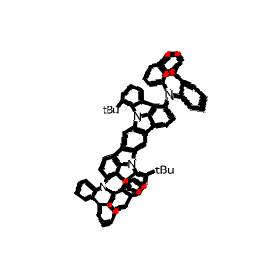 CC(C)(C)c1cccc2c3c(N(c4ccccc4-c4ccccc4)c4cccc5ccccc45)ccc4c5cc6c(cc5n(c12)c43)c1ccc(N(c2ccccc2-c2ccccc2)c2cccc3ccccc23)c2c3cccc(C(C)(C)C)c3n6c12